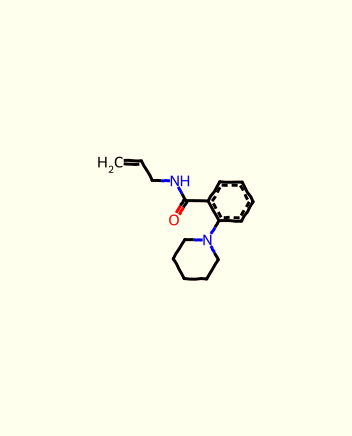 C=CCNC(=O)c1ccccc1N1CCCCC1